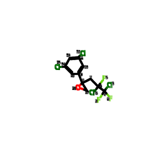 FC(F)(Cl)C(F)(Cl)CC1(c2cc(Cl)cc(Cl)c2)CO1